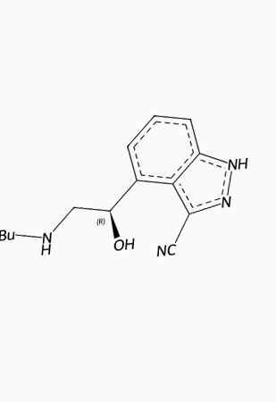 CC(C)(C)NC[C@H](O)c1cccc2[nH]nc(C#N)c12